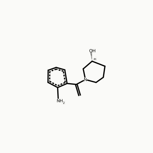 C=C(c1ccccc1N)N1CCC[C@@H](O)C1